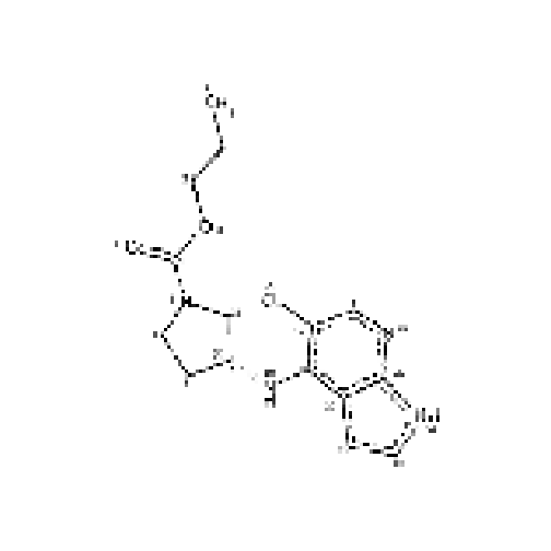 CCCOC(=O)N1CC[C@@H](Nc2c(Cl)cnc3[nH]ccc23)C1